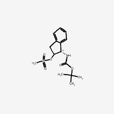 CC(C)(C)OC(=O)N[C@H]1c2ccccc2CC1OS(C)(=O)=O